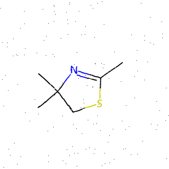 CC1=NC(C)(C)CS1